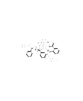 CO/C=C(\C(=O)OC)c1ccccc1COc1cc(/C(C)=N/OC(C)c2ccccc2)ccc1OC